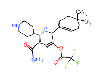 CC1(C)CC=C(C2NC(C3CCNCC3)=C(C(N)=O)C=C2OC(=O)C(F)(F)F)CC1